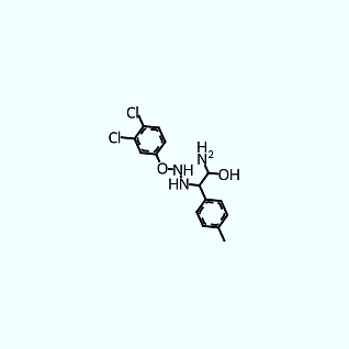 Cc1ccc(C(NNOc2ccc(Cl)c(Cl)c2)C(N)O)cc1